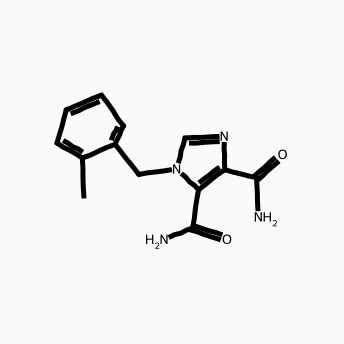 Cc1ccccc1Cn1cnc(C(N)=O)c1C(N)=O